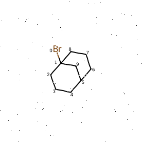 BrC12CCCC(CCC1)C2